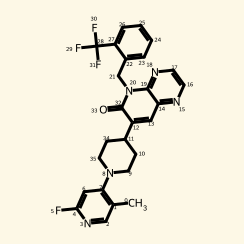 Cc1cnc(F)cc1N1CCC(c2cc3nccnc3n(Cc3ccccc3C(F)(F)F)c2=O)CC1